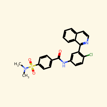 CN(C)S(=O)(=O)c1ccc(C(=O)Nc2ccc(Cl)c(-c3nccc4ccccc34)c2)cc1